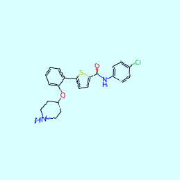 O=C(Nc1ccc(Cl)cc1)c1ccc(-c2ccccc2OC2CCNCC2)s1